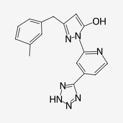 Cc1cccc(Cc2cc(O)n(-c3cc(-c4nn[nH]n4)ccn3)n2)c1